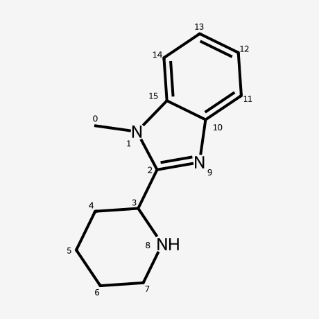 Cn1c(C2CCCCN2)nc2ccccc21